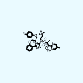 Cc1cnc([C@H](OC(C)C)[C@H](C)S(=O)(=O)N(CC[Si](C)(C)C)c2nnc3n2[C@@H](COc2ccc(F)cc2)COc2ccccc2-3)nc1